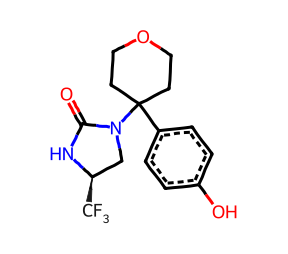 O=C1N[C@H](C(F)(F)F)CN1C1(c2ccc(O)cc2)CCOCC1